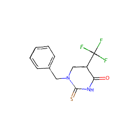 O=C1NC(=S)N(Cc2ccccc2)CC1C(F)(F)F